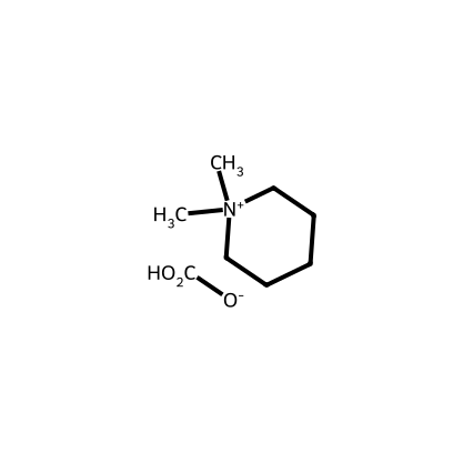 C[N+]1(C)CCCCC1.O=C([O-])O